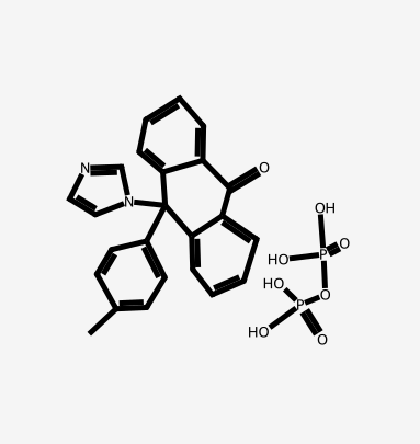 Cc1ccc(C2(n3ccnc3)c3ccccc3C(=O)c3ccccc32)cc1.O=P(O)(O)OP(=O)(O)O